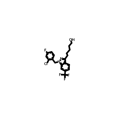 OCCCCCc1nn(Cc2ccc(F)cc2Cl)c2cc(C(F)(F)F)ccc12